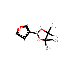 CC1(C)OB(c2ccoc2)OC1(C)C